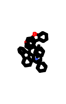 CC1(C)c2ccccc2C2(c3ccccc3-c3cccc(N(c4ccccc4)c4cccc(-c5cccc6oc7ccccc7c56)c4)c32)c2ccccc21